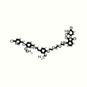 COc1cc(CCNCc2ccc(OCc3ccc(Cl)nc3)c(OC)c2)ccc1OCCOCCOCCNc1cccc2c1C(=O)N(C1CCC(=O)NC1=O)C2=O